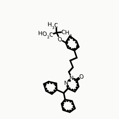 CC(C)(Oc1cccc(CCCCn2nc(C(c3ccccc3)c3ccccc3)ccc2=O)c1)C(=O)O